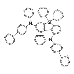 c1ccc(-c2ccc(N(c3ccccc3)c3ccc4c(c3)[Si](c3ccccc3)(c3ccccc3)c3cccc(N(c5ccccc5)c5ccc(-c6ccccc6)cc5)c3-4)cc2)cc1